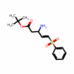 CC(C)(C)OC(=O)CC(N)/C=C/S(=O)(=O)c1ccccc1